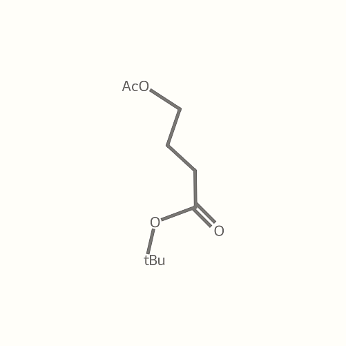 CC(=O)OCCCC(=O)OC(C)(C)C